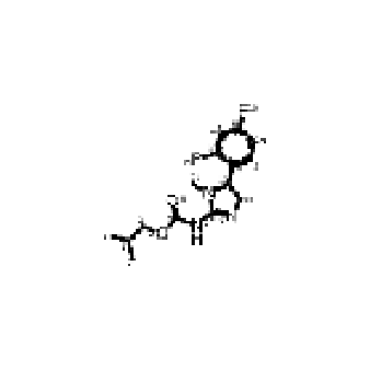 CC(C)COC(=O)NC1=NCC(c2ccc(F)cc2F)N1C